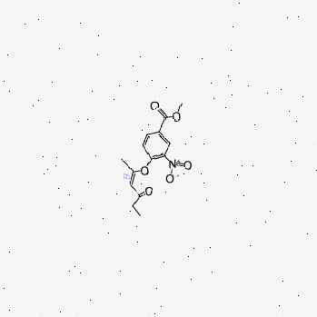 CCC(=O)/C=C(/C)Oc1ccc(C(=O)OC)cc1[N+](=O)[O-]